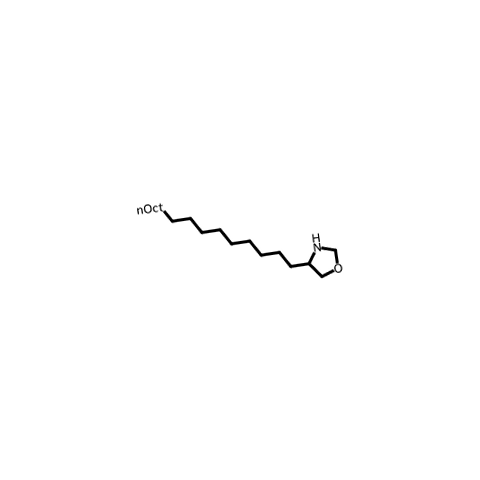 CCCCCCCCCCCCCCCCCC1COCN1